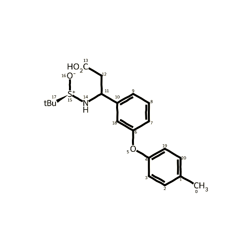 Cc1ccc(Oc2cccc(C(CC(=O)O)N[S@+]([O-])C(C)(C)C)c2)cc1